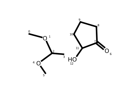 COC(C)OC.O=C1CCCC1O